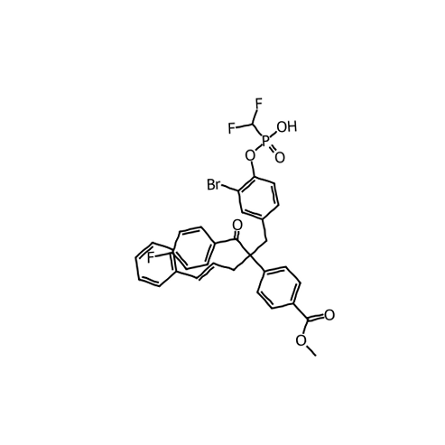 COC(=O)c1ccc(C(CC=Cc2ccccc2)(Cc2ccc(OP(=O)(O)C(F)F)c(Br)c2)C(=O)c2ccc(F)cc2)cc1